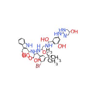 CC(C)(C)c1cc(Br)cc(C(NC(=O)CNC(O)c2cc(O)cc(NC3=NCC(O)CN3)c2)[C@H](NC(O)c2[nH]c3ccccc3c2C=O)C(=O)O)c1